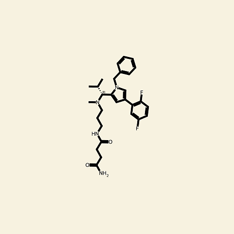 CC(C)[C@H](c1cc(-c2cc(F)ccc2F)cn1Cc1ccccc1)N(C)CCCNC(=O)CCC(N)=O